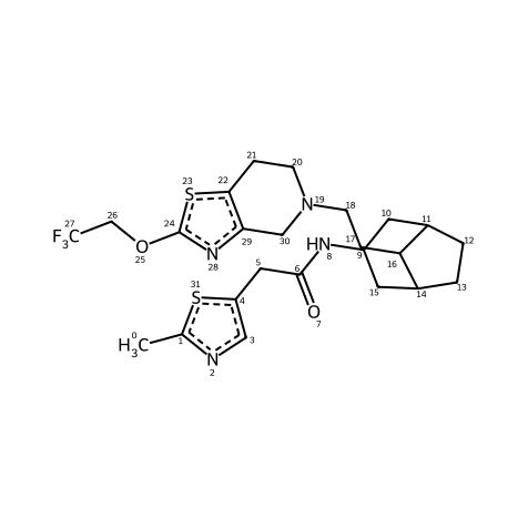 Cc1ncc(CC(=O)NC2CC3CCC(C2)C3CCN2CCc3sc(OCC(F)(F)F)nc3C2)s1